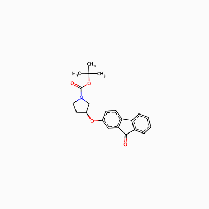 CC(C)(C)OC(=O)N1CC[C@H](Oc2ccc3c(c2)C(=O)c2ccccc2-3)C1